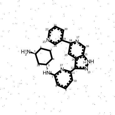 N[C@H]1CCC[C@H](Nc2cccc(-c3n[nH]c4cnc(-c5cccnc5)cc34)n2)C1